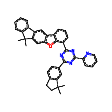 CC1(C)CCc2ccc(-c3nc(-c4ccccn4)nc(-c4cccc5c4oc4cc6c(cc45)-c4ccccc4C6(C)C)n3)cc21